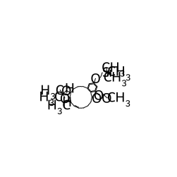 COCOc1cc(OCC[Si](C)(C)C)cc2c1C(=O)CCC/C=C\C(C)[C@H]1OC(C)(C)O[C@H]1CCC2